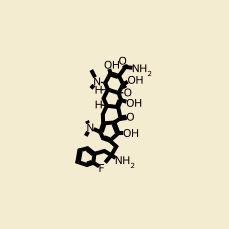 CN(C)c1cc(CC(C)(N)Cc2ccccc2F)c(O)c2c1C[C@H]1C[C@H]3[C@H](N(C)C)C(O)=C(C(N)=O)C4(O)O[C@]34C(O)=C1C2=O